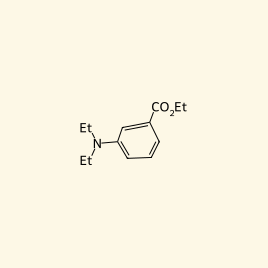 CCOC(=O)c1cccc(N(CC)CC)c1